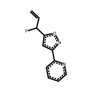 C=CC(F)c1cc(-c2ccccn2)no1